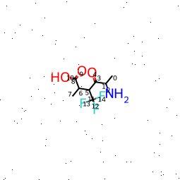 CC(N)C(=O)C(C(C)C(=O)O)C(F)(F)F